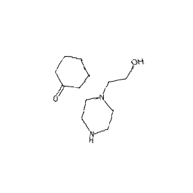 O=C1CCCCC1.OCCN1CCNCC1